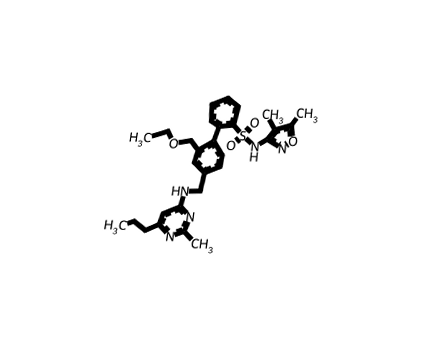 CCCc1cc(NCc2ccc(-c3ccccc3S(=O)(=O)Nc3noc(C)c3C)c(COCC)c2)nc(C)n1